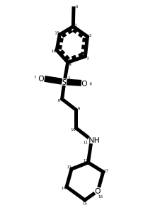 Cc1ccc(S(=O)(=O)CCCNC2CCCOC2)cc1